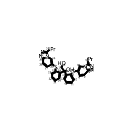 CC(C)c1nnc2ccc(Sc3ccccc3C(O)(CO)c3ccccc3Sc3ccc4nnc(C(C)C)n4c3)cn12